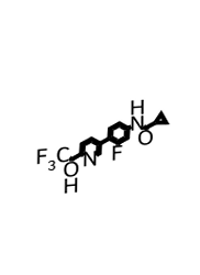 O=C(Nc1ccc(-c2ccc(C(O)C(F)(F)F)nc2)c(F)c1)C1CC1